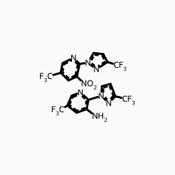 Nc1cc(C(F)(F)F)cnc1-n1ccc(C(F)(F)F)n1.O=[N+]([O-])c1cc(C(F)(F)F)cnc1-n1ccc(C(F)(F)F)n1